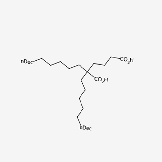 CCCCCCCCCCCCCCCC(CCCCCCCCCCCCCCC)(CCCC(=O)O)C(=O)O